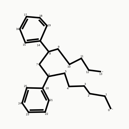 [CH2]CCCCCC(CC(CCCC[CH2])c1ccccc1)c1ccccc1